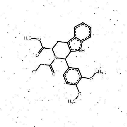 COC(=O)[C@H]1Cc2c([nH]c3ccccc23)C(c2ccc(OC)c(OC)c2)N1C(=O)CCl